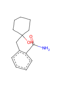 NC(=O)c1ccccc1CC1(O)CCCCC1